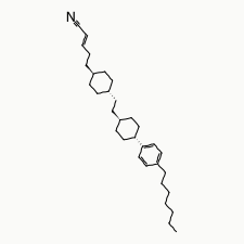 CCCCCCCc1ccc([C@H]2CC[C@H](CC[C@H]3CC[C@H](CC/C=C/C#N)CC3)CC2)cc1